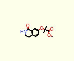 COC(=O)C(C)(C)Oc1ccc2c(c1)C(=O)NCC2